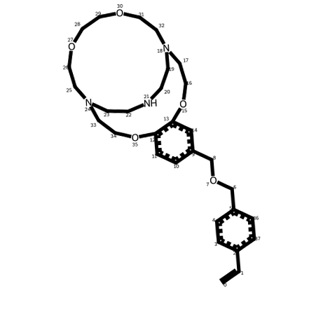 C=Cc1ccc(COCc2ccc3c(c2)OCCN2CCNCCN(CCOCCOCC2)CCO3)cc1